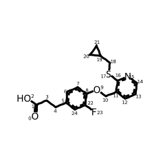 O=C(O)CCc1ccc(OCc2cccnc2SCC2CC2)c(F)c1